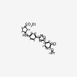 CCOC(=O)[C@@H]1CC[C@H](Nc2ccc(-c3noc(-c4cnc(OC(C)C)c(Cl)c4)n3)cc2)C1